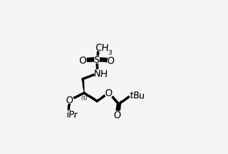 CC(C)O[C@@H](CNS(C)(=O)=O)COC(=O)C(C)(C)C